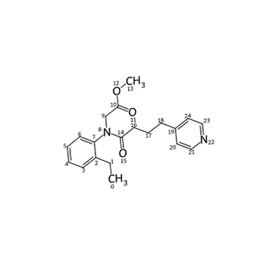 CCc1ccccc1N(CC(=O)OC)C(=O)CCCc1ccncc1